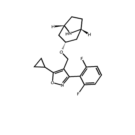 Fc1cccc(F)c1-c1noc(C2CC2)c1CO[C@H]1C[C@H]2CC[C@@H](C1)N2